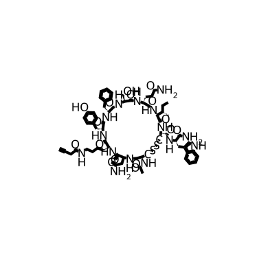 C#CCC(=O)NCCCC[C@H]1NC(=O)C(CC(N)=O)NC(=O)[C@@H](NC(C)=O)CSSC[C@@H](C(=O)N[C@@H](Cc2c[nH]c3ccccc23)C(N)=O)NC(=O)C([C@@H](C)CC)NC(=O)[C@@H](CCC(N)=O)NC(=O)[C@H](CO)NC(=O)[C@@H](Cc2ccccc2)NC(=O)[C@@H](Cc2ccc(O)cc2)NC1=O